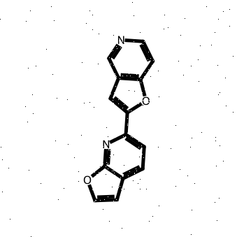 c1cc2oc(-c3ccc4ccoc4n3)cc2cn1